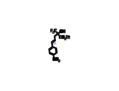 CCOC(=O)C(O)(C/C=C/c1ccc([N+](=O)[O-])cc1)C(F)(F)F